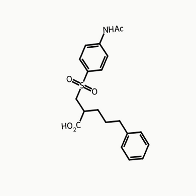 CC(=O)Nc1ccc(S(=O)(=O)CC(CCCc2ccccc2)C(=O)O)cc1